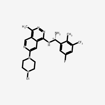 CCN1CCN(c2cc3c(N[C@H](N)c4cc(F)cc(C(F)(F)F)c4C)nnc(C)c3cn2)CC1